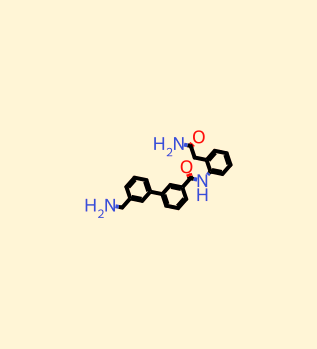 NCc1cccc(-c2cccc(C(=O)Nc3ccccc3CC(N)=O)c2)c1